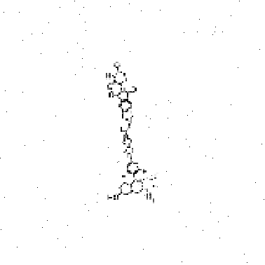 C[C@@H]1Cc2cc(O)ccc2[C@@H](c2c(F)cc(N3CC4(CN(C(=O)CN5Cc6cc7c(cc6C5)C(=O)N(C5CCC(=O)NC5=O)C7=O)C4)C3)cc2F)N1CC(F)F